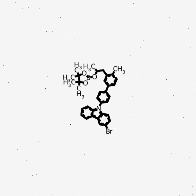 Cc1ccc(-c2ccc(-n3c4ccccc4c4cc(Br)ccc43)cc2)cc1CC(C)OB1OC(C)(C)C(C)(C)O1